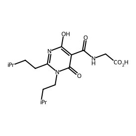 CC(C)CCc1nc(O)c(C(=O)NCC(=O)O)c(=O)n1CCC(C)C